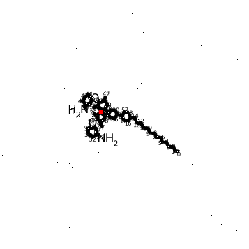 CCCCCCCCCCCCCCCC1CCC(C2CCC(c3cc(C)c(Oc4cccc(N)c4)c(C)c3)(c3cc(C)c(Oc4cccc(N)c4)c(C)c3)CC2)CC1